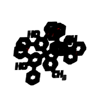 Cc1ccc(C(c2cc(-c3ccccc3)c(O)c(-c3ccccc3)c2)(c2cc(-c3ccccc3)c(O)c(-c3ccccc3)c2)c2cc(-c3ccccc3)c(O)c(-c3ccccc3)c2)c(-c2cc(-c3ccccc3)c(O)c(-c3ccccc3)c2)c1